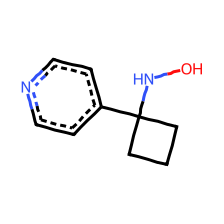 ONC1(c2ccncc2)CCC1